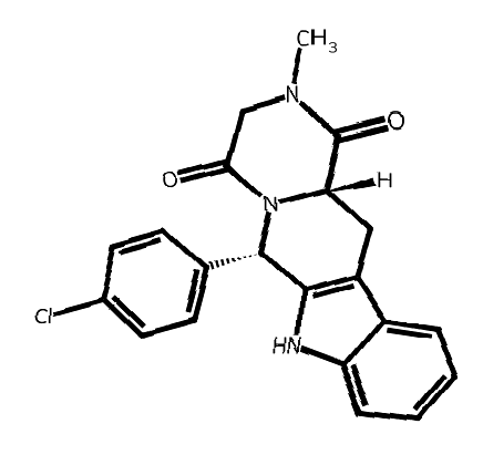 CN1CC(=O)N2[C@@H](c3ccc(Cl)cc3)c3[nH]c4ccccc4c3C[C@H]2C1=O